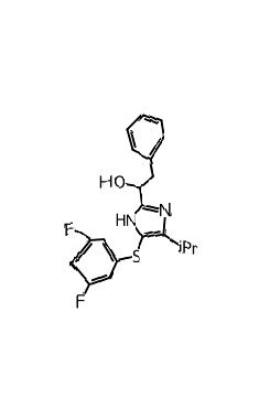 CC(C)c1nc(C(O)Cc2ccccc2)[nH]c1Sc1cc(F)cc(F)c1